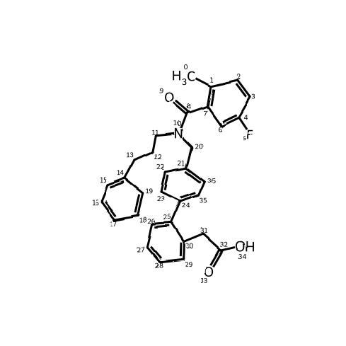 Cc1ccc(F)cc1C(=O)N(CCCc1ccccc1)Cc1ccc(-c2ccccc2CC(=O)O)cc1